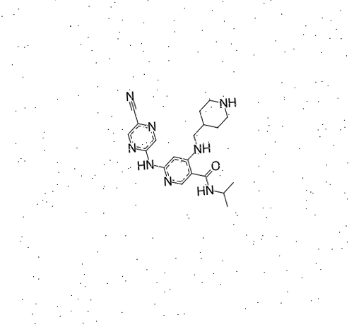 CC(C)NC(=O)c1cnc(Nc2cnc(C#N)cn2)cc1NCC1CCNCC1